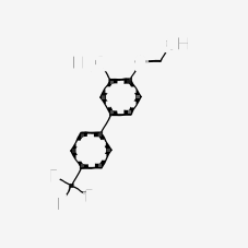 CCOc1ccc(-c2ccc(C(F)(F)F)cc2)cc1C